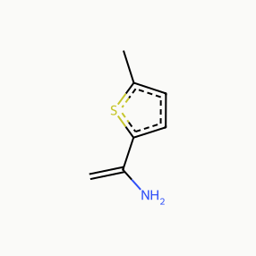 C=C(N)c1ccc(C)s1